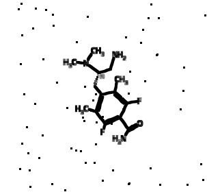 Cc1c(F)c(C(N)=O)c(F)c(C)c1C[C@@H](CN)N(C)C